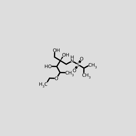 CCOC(C)C(O)[C@](O)(CO)CNS(=O)(=O)C(C)C